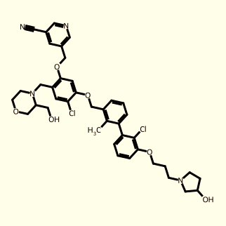 Cc1c(COc2cc(OCc3cncc(C#N)c3)c(CN3CCOCC3CO)cc2Cl)cccc1-c1cccc(OCCCN2CCC(O)C2)c1Cl